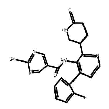 CC(C)c1ncc(C(=O)Nc2c(-c3ccccc3F)ccnc2C2CCC(=O)NC2)cn1